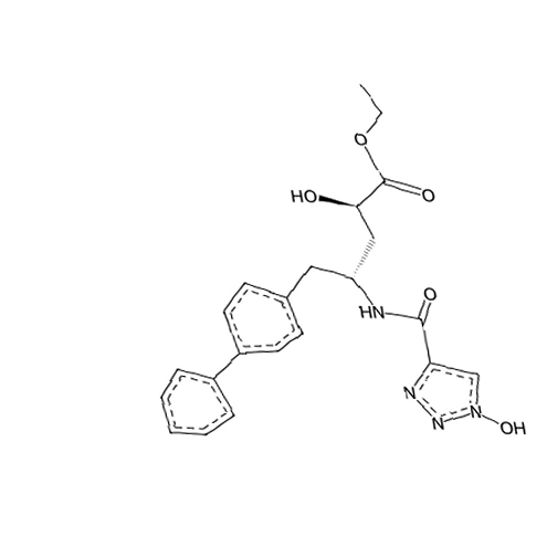 CCOC(=O)[C@H](O)C[C@@H](Cc1ccc(-c2ccccc2)cc1)NC(=O)c1cn(O)nn1